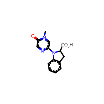 Cn1cc(N2c3ccccc3CC2C(=O)O)ncc1=O